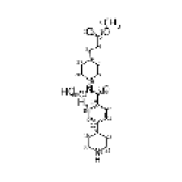 COC(=O)CC[C@H]1CC[C@H](N(C)C(=O)c2ccc(C3CCNCC3)cc2)CC1.Cl